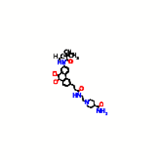 CC(C)(C)C(=O)Nc1ccc2c(c1)C(=O)C(=O)c1ccc(CCC(=O)NCCN3CCC(C(N)=O)CC3)cc1-2